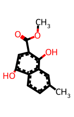 COC(=O)c1cc(O)c2ccc(C)cc2c1O